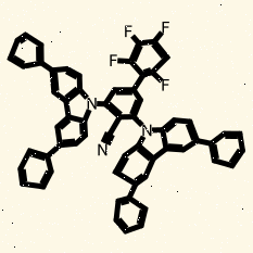 N#Cc1c(-n2c3ccc(-c4ccccc4)cc3c3cc(-c4ccccc4)ccc32)cc(-c2c(F)cc(F)c(F)c2F)cc1-n1c2ccc(-c3ccccc3)cc2c2cc(-c3ccccc3)ccc21